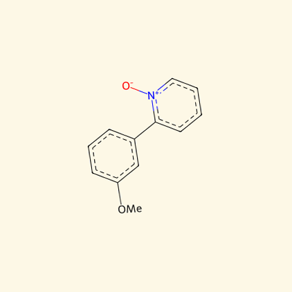 COc1cccc(-c2cccc[n+]2[O-])c1